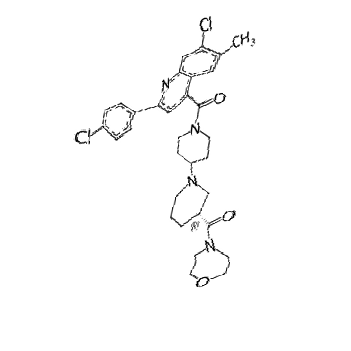 Cc1cc2c(C(=O)N3CCC(N4CCC[C@@H](C(=O)N5CCOCC5)C4)CC3)cc(-c3ccc(Cl)cc3)nc2cc1Cl